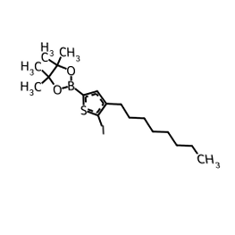 CCCCCCCCc1cc(B2OC(C)(C)C(C)(C)O2)sc1I